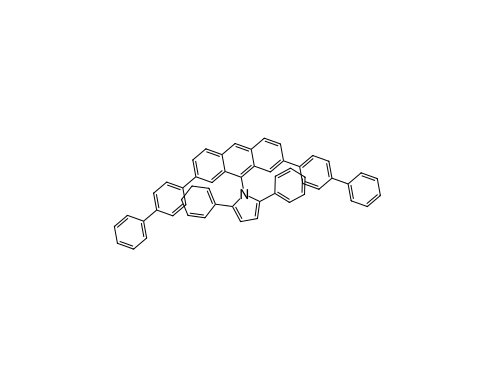 C1=CC(c2ccc(-c3ccccc3)n2-c2c3cc(-c4ccc(-c5ccccc5)cc4)ccc3cc3ccc(-c4ccc(-c5ccccc5)cc4)cc23)=CCC1